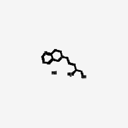 Cl.NC(CO)CCCN1CCc2ncncc2C1